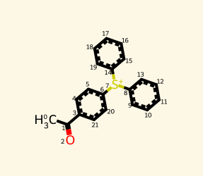 CC(=O)c1ccc([S+](c2ccccc2)c2ccccc2)cc1